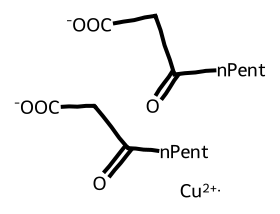 CCCCCC(=O)CC(=O)[O-].CCCCCC(=O)CC(=O)[O-].[Cu+2]